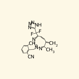 C=C1/C=C\C(C(F)(F)c2nnn[nH]2)=N/CN(Cc2c(C)cccc2C#N)/N=C\1C